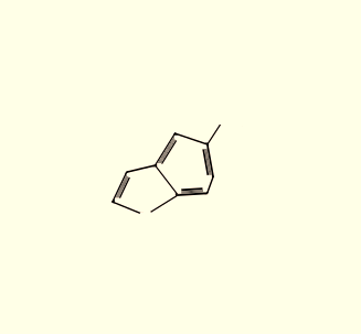 O=C(O)c1ccc2s[c]cc2c1